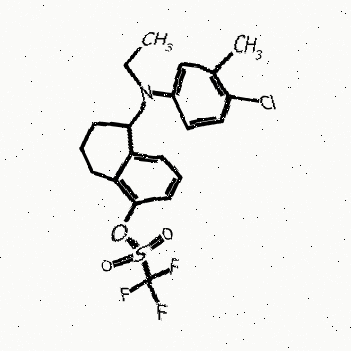 CCN(c1ccc(Cl)c(C)c1)C1CCCc2c(OS(=O)(=O)C(F)(F)F)cccc21